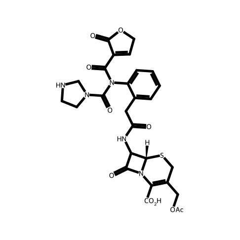 CC(=O)OCC1=C(C(=O)O)N2C(=O)C(NC(=O)Cc3ccccc3N(C(=O)C3=CCOC3=O)C(=O)N3CCNC3)[C@@H]2SC1